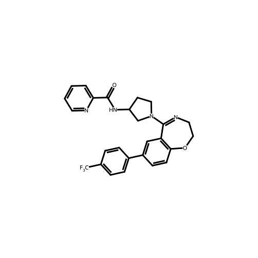 O=C(NC1CCN(C2=NCCOc3ccc(-c4ccc(C(F)(F)F)cc4)cc32)C1)c1ccccn1